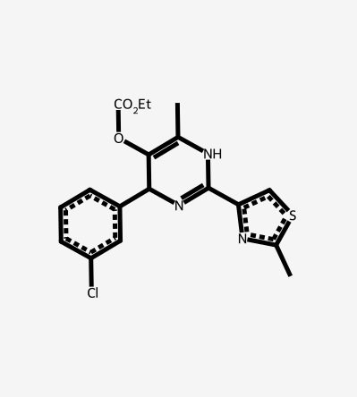 CCOC(=O)OC1=C(C)NC(c2csc(C)n2)=NC1c1cccc(Cl)c1